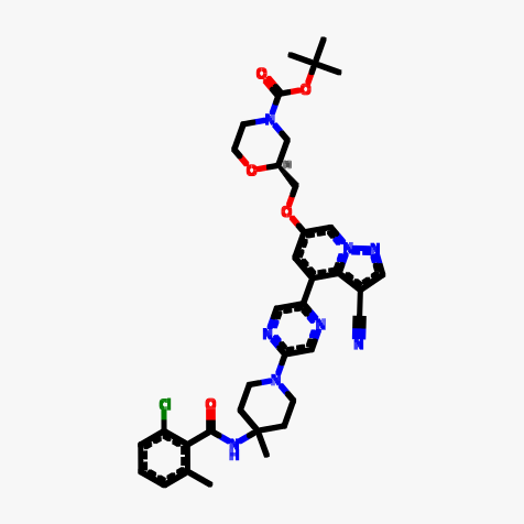 Cc1cccc(Cl)c1C(=O)NC1(C)CCN(c2cnc(-c3cc(OC[C@@H]4CN(C(=O)OC(C)(C)C)CCO4)cn4ncc(C#N)c34)cn2)CC1